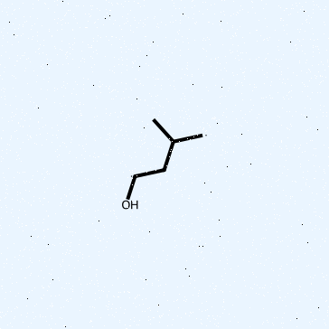 [CH2]C(C)C[CH]O